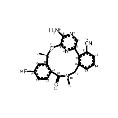 C[C@H]1Oc2nc(cnc2N)-c2c(C#N)cccc2CN(C)C(=O)c2ccc(F)cc21